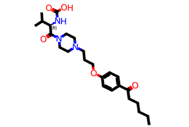 CCCCCC(=O)c1ccc(OCCCN2CCN(C(=O)[C@H](NC(=O)O)C(C)C)CC2)cc1